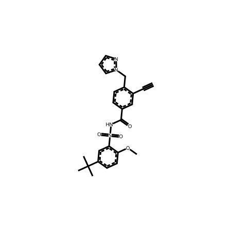 C#Cc1cc(C(=O)NS(=O)(=O)c2cc(C(C)(C)C)ccc2OC)ccc1Cn1cccn1